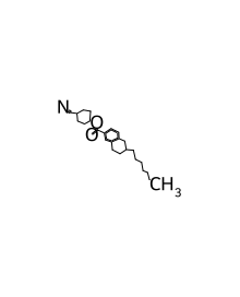 CCCCCCCC1CCc2cc(C(=O)OC3CCC(C#N)CC3)ccc2C1